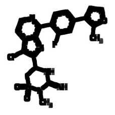 Cc1occc1-c1ccc(-c2nccc3c(Cl)c(C4CS(=O)(=O)N(C)C(=N)N4)sc23)c(F)c1